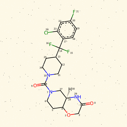 O=C1COC2CCN(C(=O)N3CCC(C(F)(F)c4ccc(F)cc4Cl)CC3)C[C@H]2N1